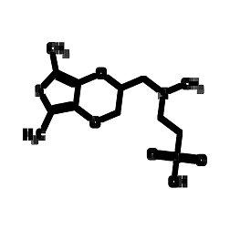 Cc1sc(C)c2c1OCC(CN(C)CCS(=O)(=O)O)O2